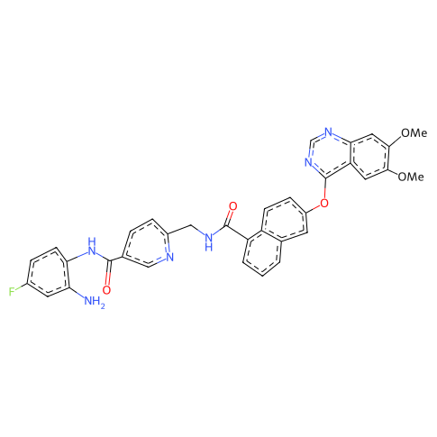 COc1cc2ncnc(Oc3ccc4c(C(=O)NCc5ccc(C(=O)Nc6ccc(F)cc6N)cn5)cccc4c3)c2cc1OC